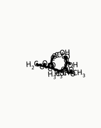 C=CCOC(=O)CC1CC2CCOCC[C@@H](O)CC(=O)OC(CO)CC(C/C(C)=C\C(=O)OC)OC(O)C(C)/C=C/C(O2)O1